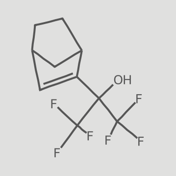 OC(C1=CC2CCC1C2)(C(F)(F)F)C(F)(F)F